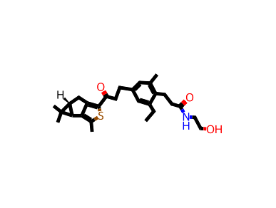 CCc1cc(CCC(=O)c2sc(C)c3c2C[C@@H]2C3C2(C)C)cc(C)c1CCC(=O)NCCO